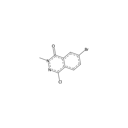 Cn1nc(Cl)c2ccc(Br)cc2c1=O